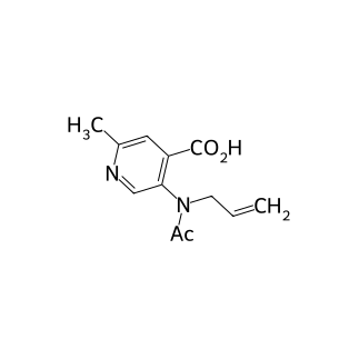 C=CCN(C(C)=O)c1cnc(C)cc1C(=O)O